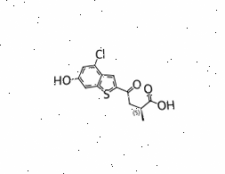 C[C@@H](CC(=O)c1cc2c(Cl)cc(O)cc2s1)C(=O)O